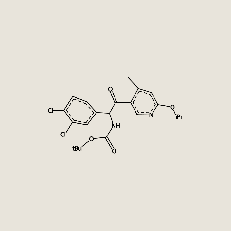 Cc1cc(OC(C)C)ncc1C(=O)C(NC(=O)OC(C)(C)C)c1ccc(Cl)c(Cl)c1